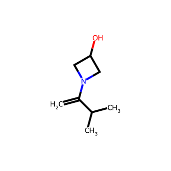 C=C(C(C)C)N1CC(O)C1